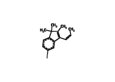 C/C=C\C1=C(C)C(C)(C)c2ccc(I)cc21